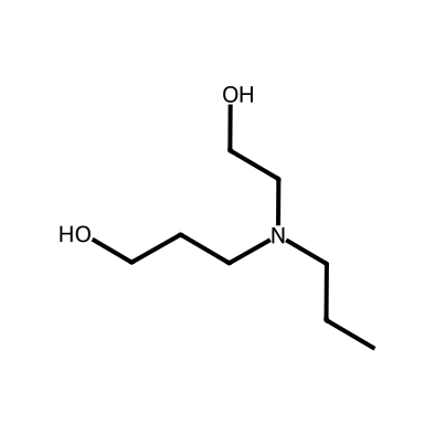 CCCN(CCO)CCCO